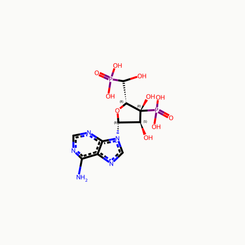 Nc1ncnc2c1ncn2[C@@H]1O[C@H](C(O)P(=O)(O)O)[C@](O)(P(=O)(O)O)[C@H]1O